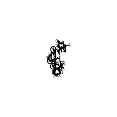 Cc1cc(C)nc(NC(=O)N2CCOC(COc3ccccc3C(F)(F)F)C2)c1